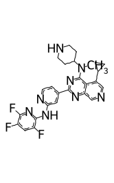 CN(c1nc(-c2ccnc(Nc3nc(F)c(F)cc3F)c2)nc2cncc(C3CC3)c12)C1CCNCC1